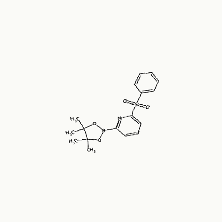 CC1(C)OB(c2cccc(S(=O)(=O)c3ccccc3)n2)OC1(C)C